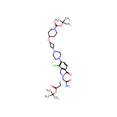 CC(C)(C)OC(=O)CC[C@@H](C(N)=O)N1Cc2c(ccc(N3CCN([C@H]4C[C@H](OC5CCN(C(=O)OC(C)(C)C)CC5)C4)CC3)c2Cl)C1=O